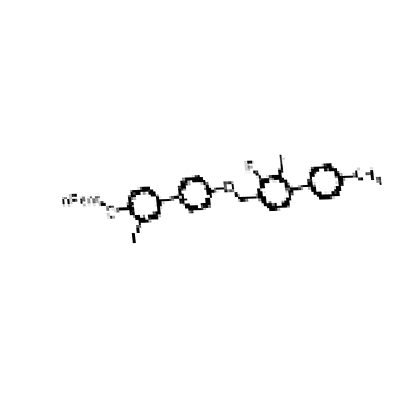 CCCCCOc1ccc(-c2ccc(OCc3ccc(-c4ccc(C)cc4)c(F)c3F)cc2)cc1F